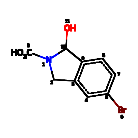 O=C(O)N1Cc2cc(Br)ccc2C1O